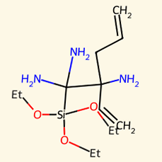 C=CCC(N)(C=C)C(N)(N)[Si](OCC)(OCC)OCC